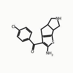 Nc1sc2c(c1C(=O)c1ccc(Cl)cc1)CC1CNCC21